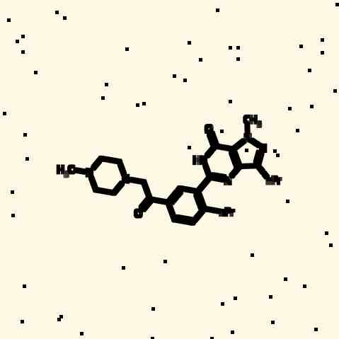 CCCc1ccc(C(=O)CN2CCN(C)CC2)cc1-c1nc2c(CCC)nn(C)c2c(=O)[nH]1